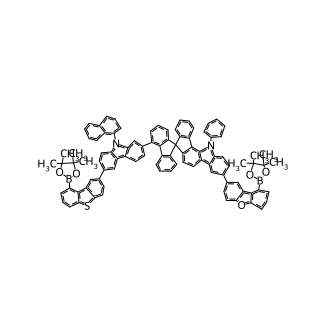 CC1(C)OB(c2cccc3oc4ccc(-c5ccc6c(c5)c5ccc7c(c5n6-c5ccccc5)-c5ccccc5C75c6ccccc6-c6c(-c7ccc8c9cc(-c%10ccc%11sc%12cccc(B%13OC(C)(C)C(C)(C)O%13)c%12c%11c%10)ccc9n(-c9cccc%10ccccc9%10)c8c7)cccc65)cc4c23)OC1(C)C